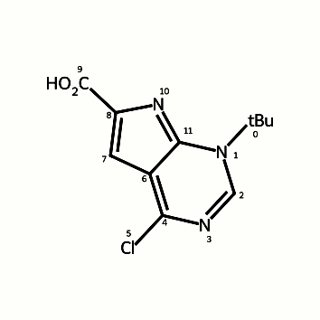 CC(C)(C)n1cnc(Cl)c2cc(C(=O)O)nc1-2